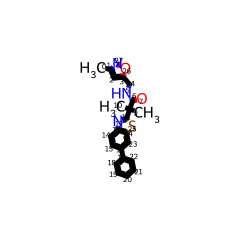 Cc1cc(CNC(=O)C(C)(C)c2nc3ccc(-c4ccccc4)cc3s2)on1